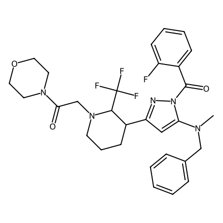 CN(Cc1ccccc1)c1cc(C2CCCN(CC(=O)N3CCOCC3)C2C(F)(F)F)nn1C(=O)c1ccccc1F